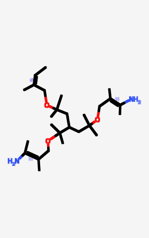 C/C=C(/C)COC(C)(C)CC(CC(C)(C)OC/C(C)=C(\C)N)C(C)(C)OC/C(C)=C(\C)N